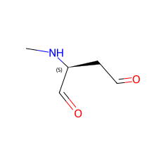 CN[C@H](C=O)CC=O